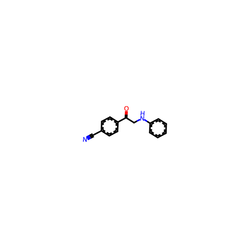 N#Cc1ccc(C(=O)CNc2ccccc2)cc1